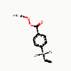 [CH2]CCCCCCOOC(=O)c1ccc([Si](C=C)(CC)CC)cc1